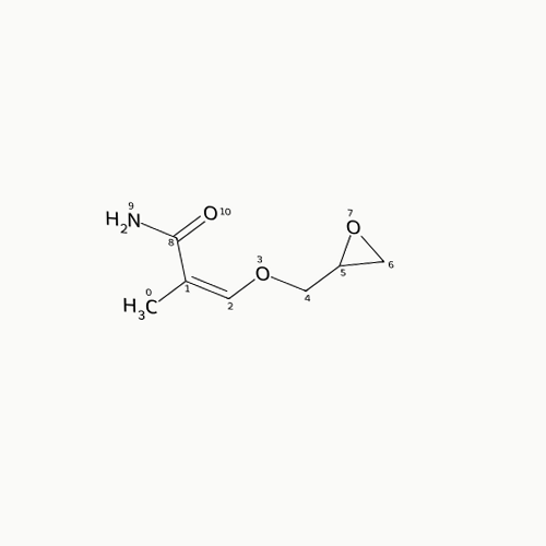 CC(=COCC1CO1)C(N)=O